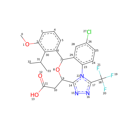 COc1cccc(C2OC(CC(=O)O)c3nnc(C(F)(F)F)n3-c3ccc(Cl)cc32)c1C(C)C